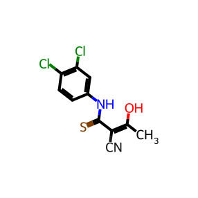 CC(O)=C(C#N)C(=S)Nc1ccc(Cl)c(Cl)c1